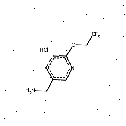 Cl.NCc1ccc(OCC(F)(F)F)nc1